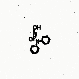 O=[PH](CCO)N(c1ccccc1)c1ccccc1